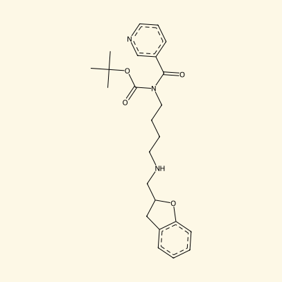 CC(C)(C)OC(=O)N(CCCCNCC1Cc2ccccc2O1)C(=O)c1cccnc1